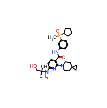 CC(C)(CO)Nc1ccc(C(=O)Nc2cccc(P(C)(=O)C3CCCC3)c2)c(N2CCC3(CC2)CC3)n1